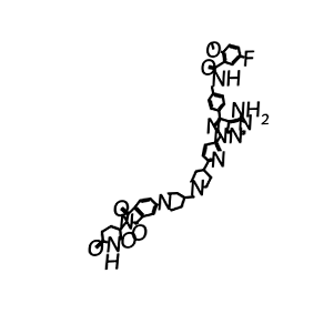 COc1ccc(F)cc1C(=O)NCc1ccc(-c2nn(-c3ccc(C4CCN(CC5CCN(c6ccc7c(c6)C(=O)N(C6CCC(=O)NC6=O)C7=O)CC5)CC4)nc3)c3ncnc(N)c23)cc1